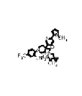 CN(C)C1(CNC(=O)C2(c3ccc(-c4cccn4C)nc3)CCN(c3ccc(C(F)(F)F)cc3C#N)CC2)CC1